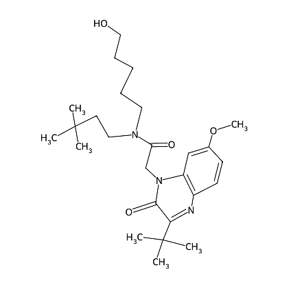 COc1ccc2nc(C(C)(C)C)c(=O)n(CC(=O)N(CCCCCO)CCC(C)(C)C)c2c1